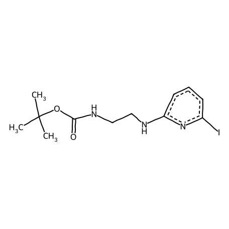 CC(C)(C)OC(=O)NCCNc1cccc(I)n1